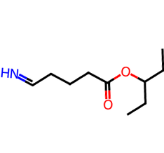 CCC(CC)OC(=O)CCCC=N